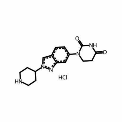 Cl.O=C1CCN(c2ccc3cn(C4CCNCC4)nc3c2)C(=O)N1